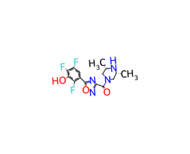 C[C@@H]1CN(C(=O)c2noc(-c3cc(F)c(F)c(O)c3F)n2)C[C@H](C)N1